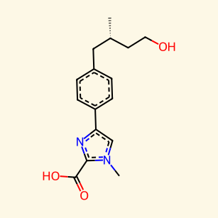 C[C@H](CCO)Cc1ccc(-c2cn(C)c(C(=O)O)n2)cc1